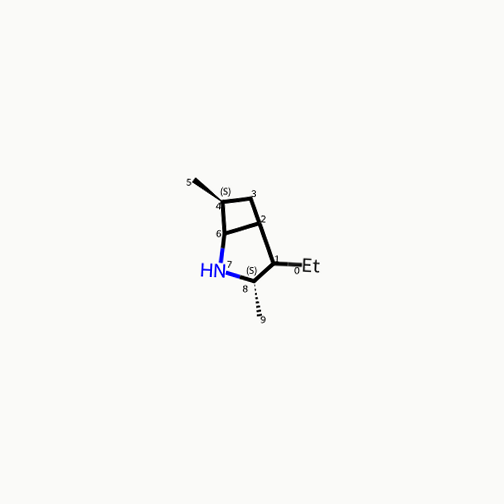 CCC1C2C[C@H](C)C2N[C@H]1C